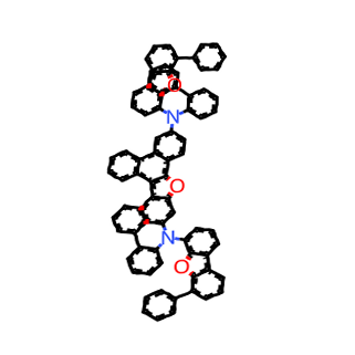 c1ccc(-c2ccccc2N(c2ccc3c(c2)oc2c4ccc(N(c5ccccc5-c5ccccc5)c5cccc6c5oc5c(-c7ccccc7)cccc56)cc4c4ccccc4c32)c2cccc3c2oc2c(-c4ccccc4)cccc23)cc1